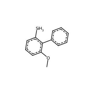 COc1cccc([SiH3])c1-c1ccccc1